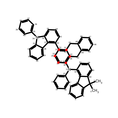 CC1(C)c2ccccc2-c2c(N(c3ccccc3)c3ccc(-c4cccc5c4c4ccccc4n5-c4ccccc4)c4c3C3c5ccccc5C4c4ccccc43)cccc21